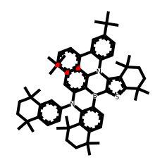 CC(C)(C)c1ccc(N2c3cc(C(C)(C)C)cc4c3B(c3ccc5c(c3N4c3ccc4c(c3)C(C)(C)CCC4(C)C)C(C)(C)CCC5(C)C)c3sc4c(c32)C(C)(C)CCC4(C)C)c(-c2ccccc2)c1